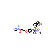 CC1(C)C2CCC1(CS(=O)(=O)N[C@@H](Cc1ccc(OCCCC(=O)Nn3ccnc3)cc1)C(=O)O)C(=O)C2